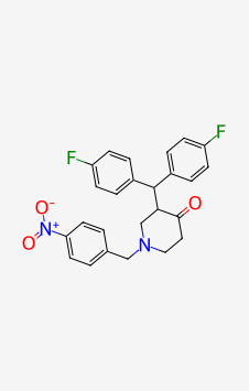 O=C1CCN(Cc2ccc([N+](=O)[O-])cc2)CC1C(c1ccc(F)cc1)c1ccc(F)cc1